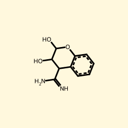 N=C(N)C1c2ccccc2OC(O)C1O